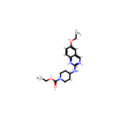 CCOC(=O)N1CCC(Nc2ncc3cc(OCC)ccc3n2)CC1